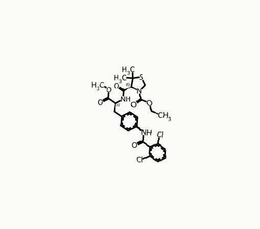 CCOC(=O)N1CSC(C)(C)[C@@H]1C(=O)N[C@@H](Cc1ccc(NC(=O)c2c(Cl)cccc2Cl)cc1)C(=O)OC